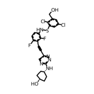 OCc1cc(Cl)cc(SNc2ccc(F)c(C#Cc3cnc(N[C@H]4CC[C@H](O)CC4)nn3)c2F)c1Cl